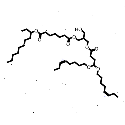 CC/C=C\CCCCOC(CCC(=O)OCC(CO)COC(=O)CCCCCC(=O)OC(CC)CCCCCCCC)OCCCC/C=C\CC